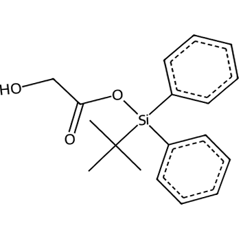 CC(C)(C)[Si](OC(=O)CO)(c1ccccc1)c1ccccc1